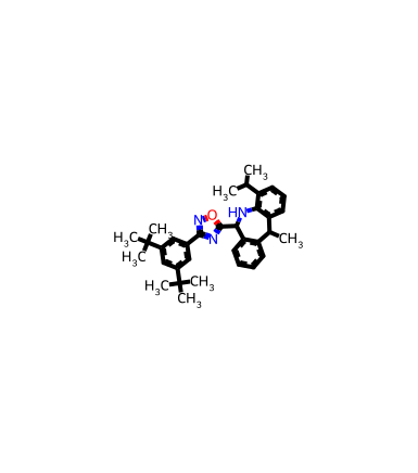 CC(C)c1cccc2c1NC(c1nc(-c3cc(C(C)(C)C)cc(C(C)(C)C)c3)no1)c1ccccc1C2C